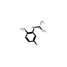 C[C@H](Nc1cc(F)ccc1[N+](=O)[O-])C(F)(F)F